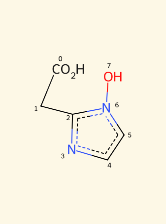 O=C(O)Cc1nccn1O